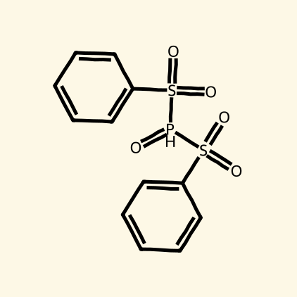 O=[PH](S(=O)(=O)c1ccccc1)S(=O)(=O)c1ccccc1